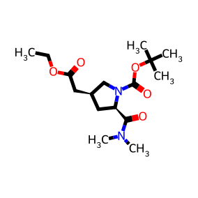 CCOC(=O)C[C@@H]1C[C@H](C(=O)N(C)C)N(C(=O)OC(C)(C)C)C1